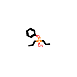 CCC[PH](O)(CCC)Oc1ccccc1